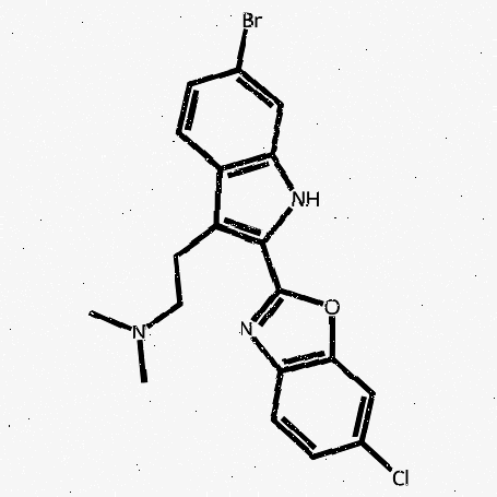 CN(C)CCc1c(-c2nc3ccc(Cl)cc3o2)[nH]c2cc(Br)ccc12